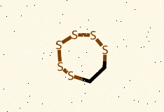 C1CSSSSSS1